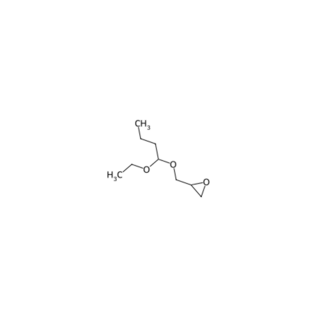 CCCC(OCC)OCC1CO1